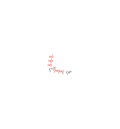 [C+4].[Cd+2].[OH-].[OH-].[OH-].[OH-].[OH-].[OH-]